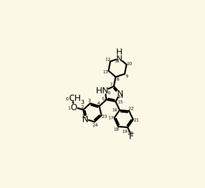 COc1cc(-c2[nH]c(C3CCNCC3)nc2-c2ccc(F)cc2)ccn1